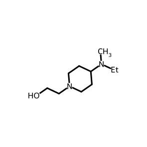 CCN(C)C1CCN(CCO)CC1